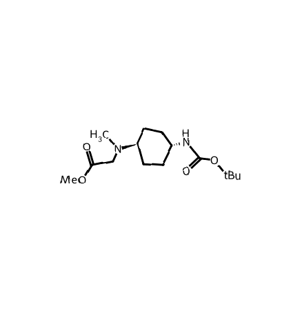 COC(=O)CN(C)[C@H]1CC[C@H](NC(=O)OC(C)(C)C)CC1